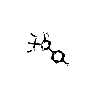 COC(C)(OC)n1nc(-c2ccc(F)cc2)cc1N